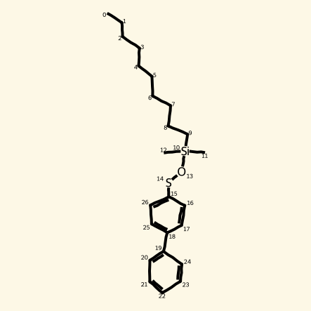 CCCCCCCCCC[Si](C)(C)OSc1ccc(-c2ccccc2)cc1